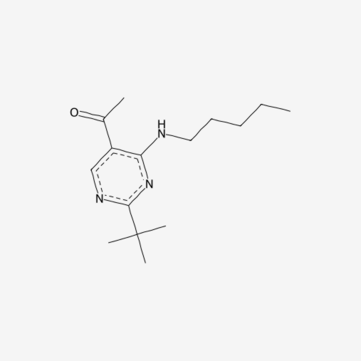 CCCCCNc1nc(C(C)(C)C)ncc1C(C)=O